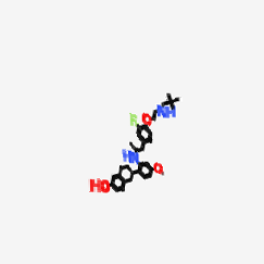 COc1ccc(C2CCc3cc(O)ccc3C2)c(NC(C)Cc2ccc(OCCNCC(C)(C)C)c(F)c2)c1